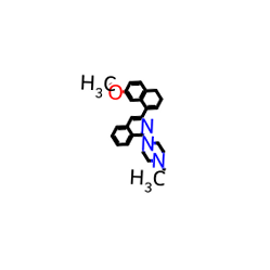 CCN1CCN(c2nc(C3=CCCc4ccc(OC)cc43)cc3ccccc23)CC1